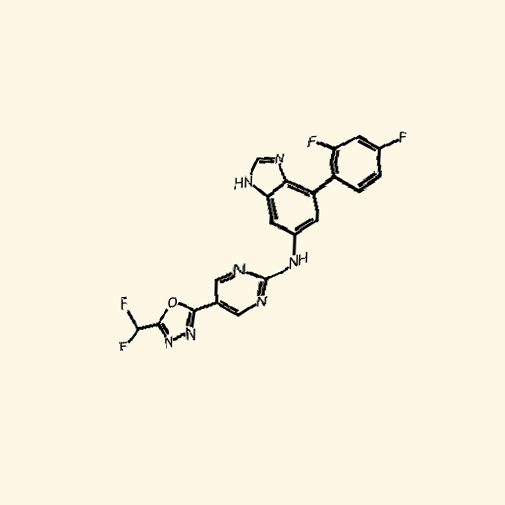 Fc1ccc(-c2cc(Nc3ncc(-c4nnc(C(F)F)o4)cn3)cc3[nH]cnc23)c(F)c1